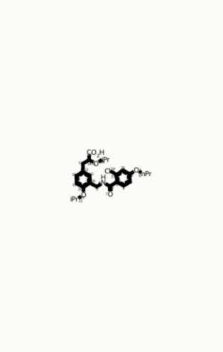 CCCOc1ccc(C(=O)NCc2cc(CC(OC(C)C)C(=O)O)ccc2OC(C)C)c(Cl)c1